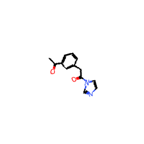 CC(=O)c1cccc(CC(=O)n2ccnc2)c1